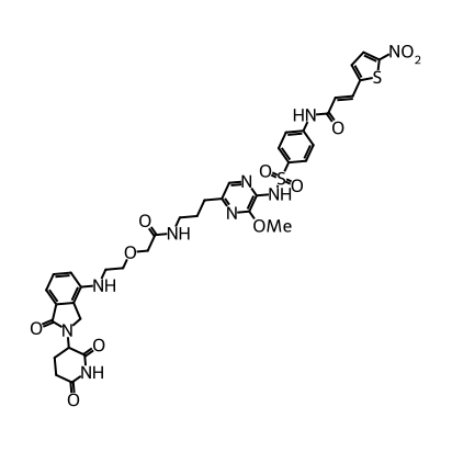 COc1nc(CCCNC(=O)COCCNc2cccc3c2CN(C2CCC(=O)NC2=O)C3=O)cnc1NS(=O)(=O)c1ccc(NC(=O)/C=C/c2ccc([N+](=O)[O-])s2)cc1